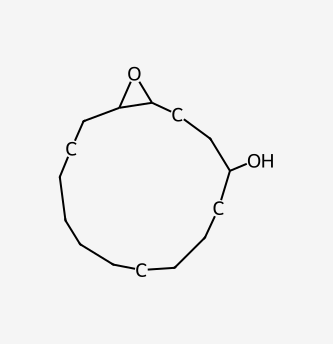 OC1CCCCCCCCCCC2OC2CC1